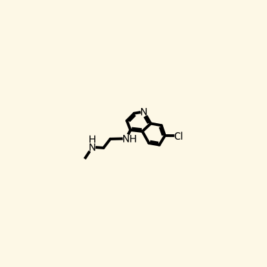 CNCCNc1ccnc2cc(Cl)ccc12